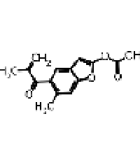 C=C(C)C(=O)c1cc2cc(OC(=O)O)oc2cc1C